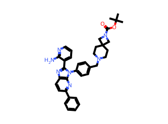 CC(C)(C)OC(=O)N1CC2(CCN(Cc3ccc(-n4c(-c5cccnc5N)nc5ccc(-c6ccccc6)nc54)cc3)CC2)C1